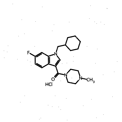 CN1CCN(C(=O)c2cn(CC3CCCCC3)c3cc(F)ccc23)CC1.Cl